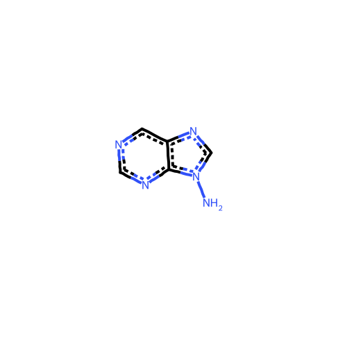 Nn1cnc2cncnc21